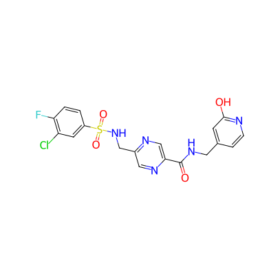 O=C(NCc1ccnc(O)c1)c1cnc(CNS(=O)(=O)c2ccc(F)c(Cl)c2)cn1